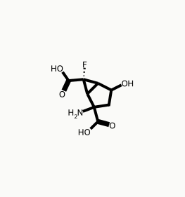 NC1(C(=O)O)CC(O)C2C1[C@@]2(F)C(=O)O